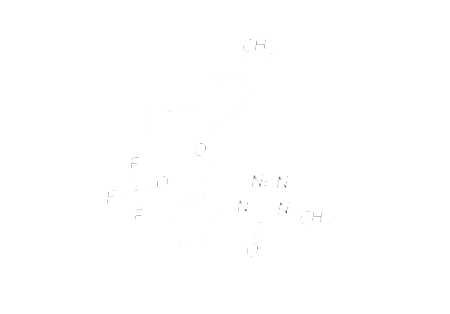 Cc1ccc(OCc2c(OC(F)(F)F)cccc2-n2nnn(C)c2=O)c(C2CC2)c1